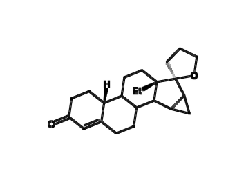 CC[C@]12CCC3C(CCC4=CC(=O)CC[C@@H]43)C1C1CC1[C@@]21CCCO1